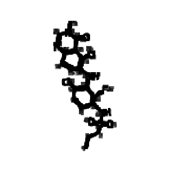 CCCS(=O)(=O)Nc1ccc(Cl)c(Nc2ccc3ncn(C)c(=O)c3c2Cl)c1F